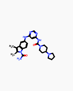 Cc1c(C)n(C(N)=O)c2ccc(Nc3cc(NC(=O)N4CCC(N5CCCC5)CC4)ncn3)cc12